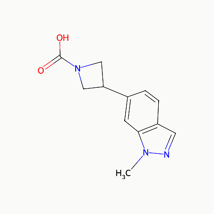 Cn1ncc2ccc(C3CN(C(=O)O)C3)cc21